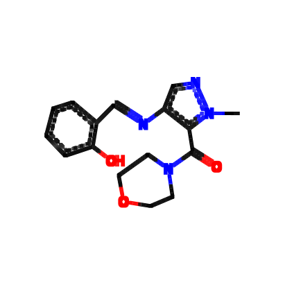 Cn1ncc(/N=C/c2ccccc2O)c1C(=O)N1CCOCC1